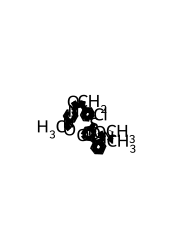 C=C(C(=O)N1CCN(C(C)=O)CC1)c1ccc(SC2COCC(c3ccccc3C(=O)N(C)C)O2)c(Cl)c1